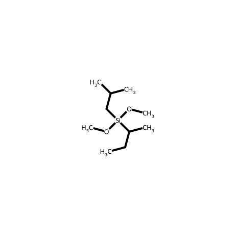 CCC(C)[Si](CC(C)C)(OC)OC